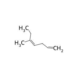 C=CC/C=C(/C)CC